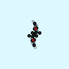 O=S(=O)(c1ccc(Cl)cc1)c1ccc(Oc2c(-c3ccccc3)cc(C(c3ccccc3)(c3ccccc3)c3cc(-c4ccccc4)c(Oc4ccc(S(=O)(=O)c5ccc(Cl)cc5)cc4)c(-c4ccccc4)c3)cc2-c2ccccc2)cc1